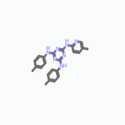 Cc1ccc(Nc2nc(Nc3ccc(C)cc3)nc(Nc3ccc(C)cn3)n2)cc1